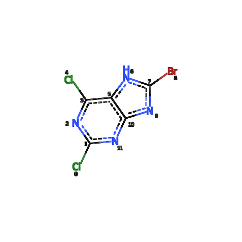 Clc1nc(Cl)c2[nH]c(Br)nc2n1